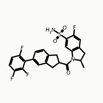 CC1Cc2cc(F)c(S(N)(=O)=O)cc2N1C(=O)C1Cc2ccc(-c3c(F)ccc(F)c3F)cc2C1